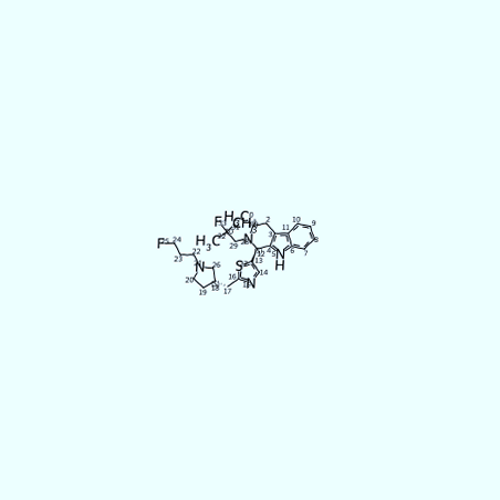 C[C@@H]1Cc2c([nH]c3ccccc23)[C@@H](c2cnc(C[C@@H]3CCN(CCCF)C3)s2)N1CC(C)(C)F